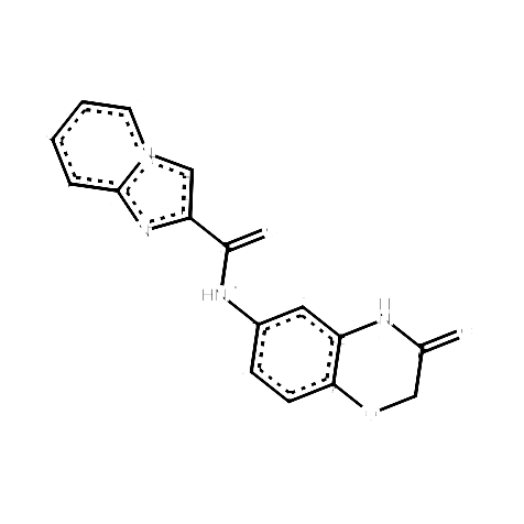 O=C1COc2ccc(NC(=O)c3cn4ccccc4n3)cc2N1